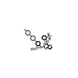 COc1cc(N2CCC(N3CCN(C)CC3)CC2)ccc1Nc1nc(Nc2ccccc2S(C)(=O)=O)c2sccc2n1